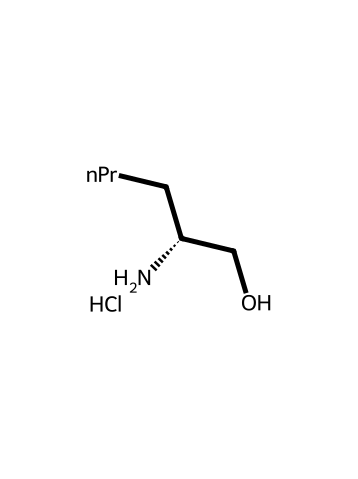 CCCC[C@@H](N)CO.Cl